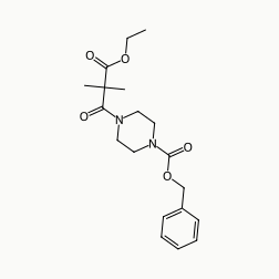 CCOC(=O)C(C)(C)C(=O)N1CCN(C(=O)OCc2ccccc2)CC1